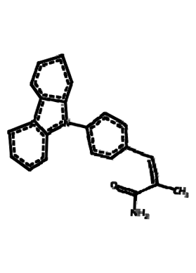 CC(=Cc1ccc(-n2c3ccccc3c3ccccc32)cc1)C(N)=O